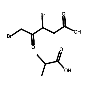 CC(C)C(=O)O.O=C(O)CC(Br)C(=O)CBr